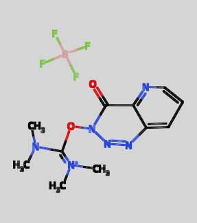 CN(C)C(On1nnc2cccnc2c1=O)=[N+](C)C.F[B-](F)(F)F